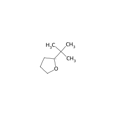 CC(C)(C)[C]1CCCO1